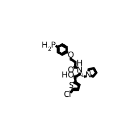 O=C(CCOc1ccc(P)cc1)N[C@H](CN1CCCC1)[C@H](O)c1ccc(Cl)s1